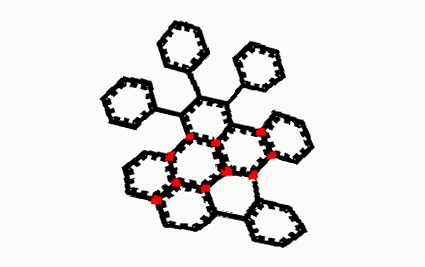 c1ccc(-c2c(-c3ccccc3)c(-c3ccccc3)c3c(-c4ccccc4-c4ccccc4N(c4ccccc4)c4ccccc4)cccc3c2-c2ccccc2)cc1